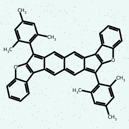 Cc1cc(C)c(C2=c3cc4cc5c(cc4cc3-c3c2oc2ccccc32)=C(c2c(C)cc(C)cc2C)c2oc3ccccc3c2-5)c(C)c1